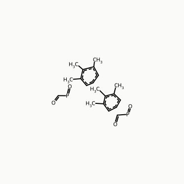 Cc1cccc(C)c1C.Cc1cccc(C)c1C.O=CP=O.O=CP=O